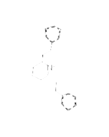 CN1[C@H](CCc2ccccc2)CCC[C@H]1CCc1ccccc1